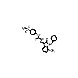 Cc1cccc2c1N(Cc1ccccc1)C(=O)C2=NNC(=S)Nc1ccc(S(N)(=O)=O)cc1